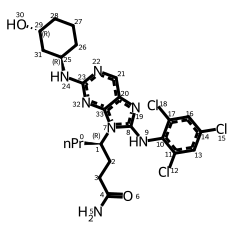 CCC[C@H](CCC(N)=O)n1c(Nc2c(Cl)cc(Cl)cc2Cl)nc2cnc(N[C@@H]3CCC[C@@H](O)C3)nc21